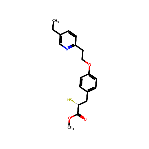 CCc1ccc(CCOc2ccc(C[C@@H](S)C(=O)OC)cc2)nc1